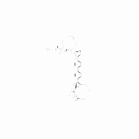 COC(=O)N[C@H]1CCCCCOCC[C@@H](c2ncc(-c3ccc(-c4ccc(-c5nc6[nH]c5COCCCC[C@H](C)C(=O)N5CCC[C@@H]65)cc4)cc3)[nH]2)NC1=O